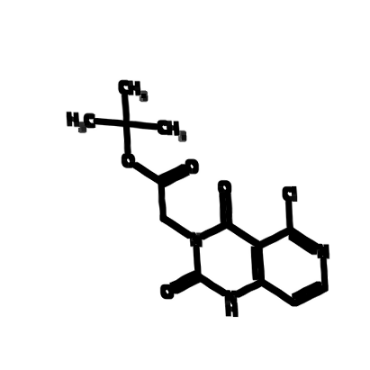 CC(C)(C)OC(=O)Cn1c(=O)[nH]c2ccnc(Cl)c2c1=O